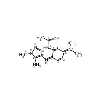 CC(=O)NC1=CC(=[N+](C)C)C=C/C1=N/c1cnn(C)c1N